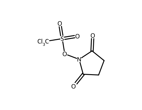 O=C1CCC(=O)N1OS(=O)(=O)C(Cl)(Cl)Cl